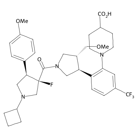 COC[C@H]1CN(C(=O)[C@]2(F)CN(C3CCC3)C[C@H]2c2ccc(OC)cc2)C[C@@H]1c1ccc(C(F)(F)F)cc1N1CCC(C(=O)O)CC1